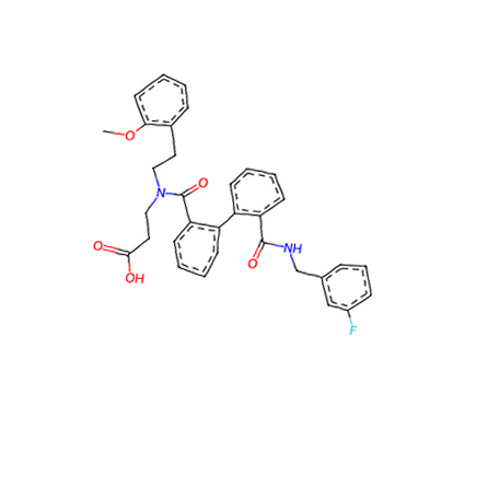 COc1ccccc1CCN(CCC(=O)O)C(=O)c1ccccc1-c1ccccc1C(=O)NCc1cccc(F)c1